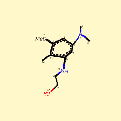 COc1cc(N(C)C)cc(NCCO)c1C